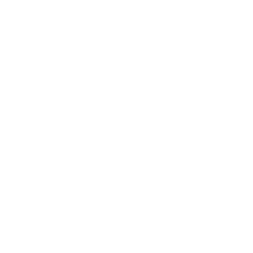 CC(C)C(O)C(O)C(O)C(C)O